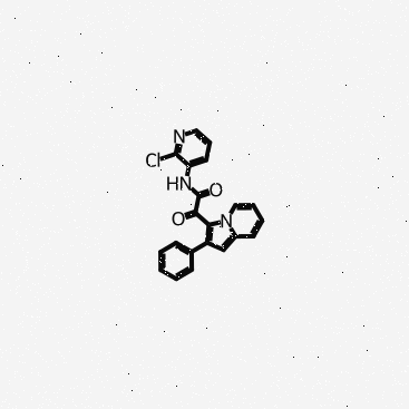 O=C(Nc1cccnc1Cl)C(=O)c1c(-c2ccccc2)cc2ccccn12